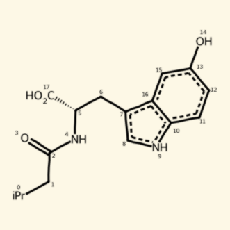 CC(C)CC(=O)N[C@@H](Cc1c[nH]c2ccc(O)cc12)C(=O)O